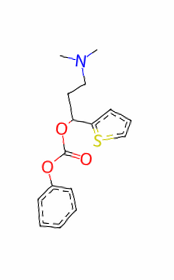 CN(C)CCC(OC(=O)Oc1ccccc1)c1cccs1